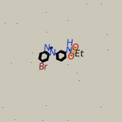 CCS(=O)(=O)Nc1cccc(-n2cnc3ccc(Br)cc32)c1